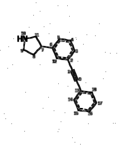 C(#Cc1cccc(C2CCNC2)c1)c1ccccc1